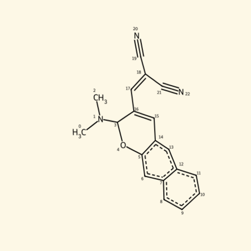 CN(C)C1Oc2cc3ccccc3cc2C=C1C=C(C#N)C#N